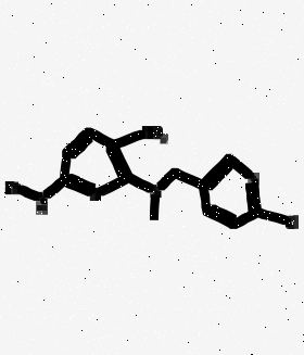 CCNc1ccc([N+](=O)[O-])c(N(C)Cc2ccc(Cl)nc2)n1